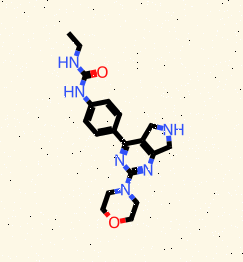 CCNC(=O)Nc1ccc(-c2nc(N3CCOCC3)nc3c2CNC3)cc1